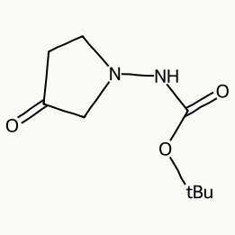 CC(C)(C)OC(=O)NN1CCC(=O)C1